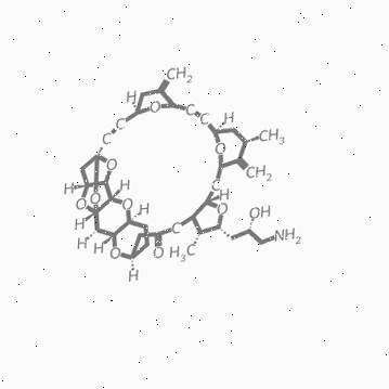 C=C1C[C@@H]2CC[C@@]34C[C@H]5O[C@H]6[C@@H](O3)[C@H]3O[C@H](CC[C@@H]3O[C@H]6C5O4)CC(=O)CC3[C@H](CC4O[C@@H](CCC1O2)C[C@@H](C)C4=C)O[C@H](C[C@H](O)CN)[C@@H]3C